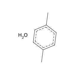 Cc1ccc(C)cc1.O